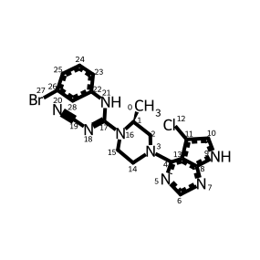 C[C@H]1CN(c2ncnc3[nH]cc(Cl)c23)CCN1/C(=N/C#N)Nc1cccc(Br)c1